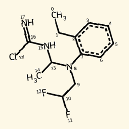 CCc1ccccc1N(CC(F)F)C(C)NC(=N)Cl